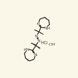 CC(C)(N=NC(C)(C)C1=NCCCCN1)C1=NCCCCN1.Cl.Cl